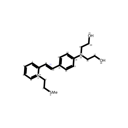 CSCC[n+]1ccccc1/C=C/c1ccc(N(CCO)CCO)cc1